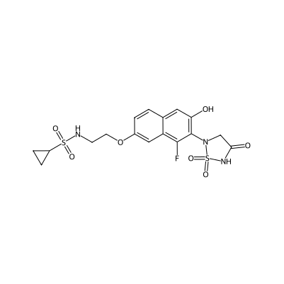 O=C1CN(c2c(O)cc3ccc(OCCNS(=O)(=O)C4CC4)cc3c2F)S(=O)(=O)N1